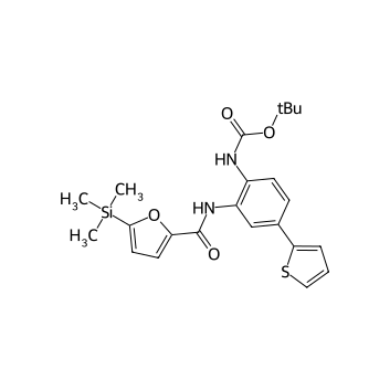 CC(C)(C)OC(=O)Nc1ccc(-c2cccs2)cc1NC(=O)c1ccc([Si](C)(C)C)o1